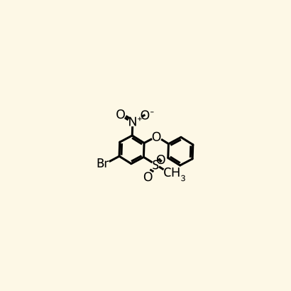 CS(=O)(=O)c1cc(Br)cc([N+](=O)[O-])c1Oc1ccccc1